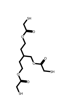 O=C(CS)OCCC(CCOC(=O)CS)COC(=O)CS